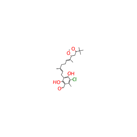 COC(CC(=O)C(C)(C)C)/C(C)=C/CC/C(C)=C/Cc1c(O)c(Cl)c(C)c(C=O)c1O